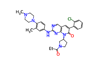 CCC(=O)N1CC[C@H](n2c(=O)c(-c3ccccc3Cl)cc3cnc(Nc4ccc(N5CCN(C)CC5)c(C)c4)nc32)C1